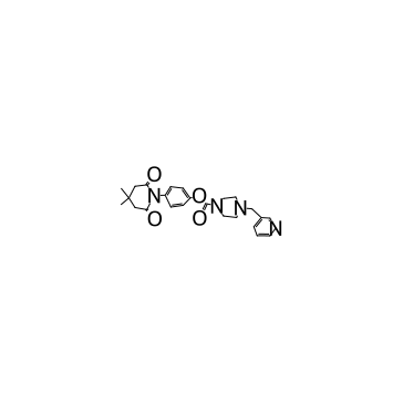 CC1(C)CC(=O)N(c2ccc(OC(=O)N3CCN(Cc4cccnc4)CC3)cc2)C(=O)C1